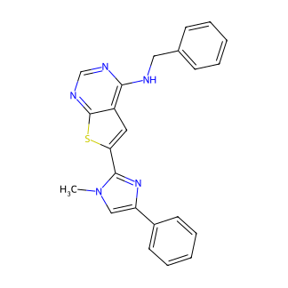 Cn1cc(-c2ccccc2)nc1-c1cc2c(NCc3ccccc3)ncnc2s1